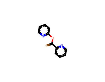 S=C(Oc1ccccn1)c1ccccn1